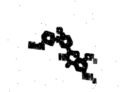 CNc1cccc(-n2cc(C(=O)NC(C)c3cc(N)cc(C(F)(F)F)c3)ccc2=O)c1